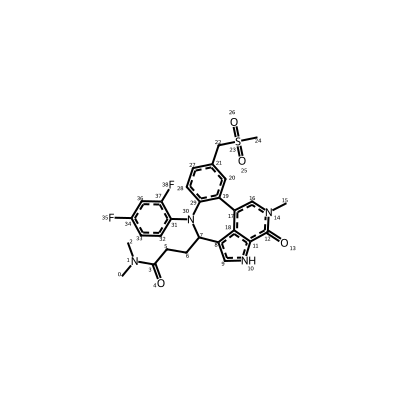 CN(C)C(=O)CCC1c2c[nH]c3c(=O)n(C)cc(c23)-c2cc(CS(C)(=O)=O)ccc2N1c1ccc(F)cc1F